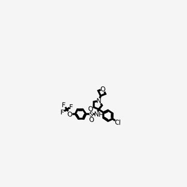 O=S(=O)(NC1(c2ccc(Cl)cc2)CCN(C2COC2)C1)c1ccc(OC(F)(F)F)cc1